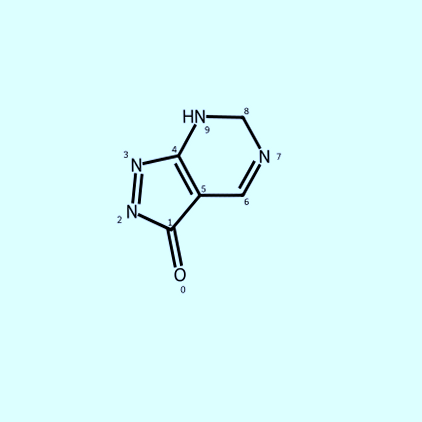 O=C1N=NC2=C1C=NCN2